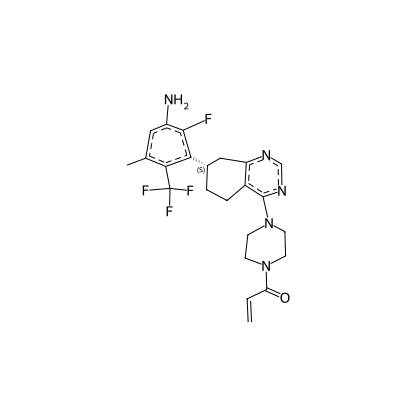 C=CC(=O)N1CCN(c2ncnc3c2CC[C@H](c2c(F)c(N)cc(C)c2C(F)(F)F)C3)CC1